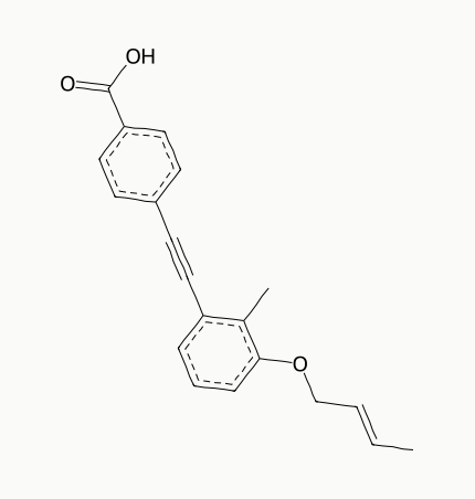 CC=CCOc1cccc(C#Cc2ccc(C(=O)O)cc2)c1C